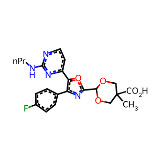 CCCNc1nccc(-c2oc(C3OCC(C)(C(=O)O)CO3)nc2-c2ccc(F)cc2)n1